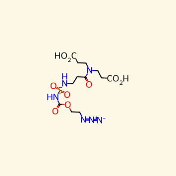 [N-]=[N+]=NCCOC(=O)NS(=O)(=O)NCCC(=O)N(CCC(=O)O)CCC(=O)O